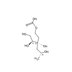 C[C@@H](O)C[C@](O)(CCOC(=O)O)[C@@H](O)CO